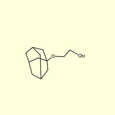 OCCOC12CC3CC(CC(C3)C1)C2